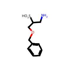 NCC(COCc1ccccc1)S(=O)(=O)O